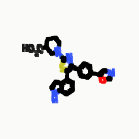 O=C(O)C1CCCN(c2nc(-c3ccc(-c4cnco4)cc3)c(-c3cccc4[nH]ccc34)s2)C1